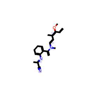 C=C/C(OC)=C(C)\C=C\N(C)C(=C)C1=CCCC=C1/N=C(\C)C#N